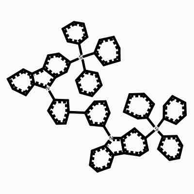 c1ccc([Si](c2ccccc2)(c2ccccc2)c2ccc3c4ccccc4n(-c4cccc(-c5cccc(-n6c7ccccc7c7ccc([Si](c8ccccc8)(c8ccccc8)c8ccccc8)cc76)c5)c4)c3c2)cc1